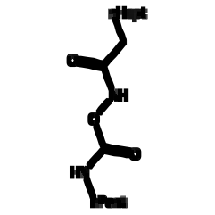 CCCCCCCCC(=O)NOC(=O)NCCCCC